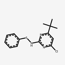 CC(C)(C)c1cc(Cl)nc(NSc2ccccc2)n1